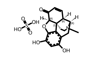 CN1CC[C@]23c4c5c(O)cc(O)c4O[C@H]2C(=O)C=C[C@H]3[C@H]1C5.O=S(=O)(O)O